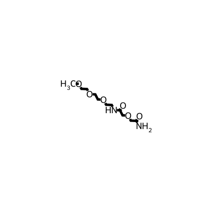 COCCOCCOCCNC(=O)COCC(N)=O